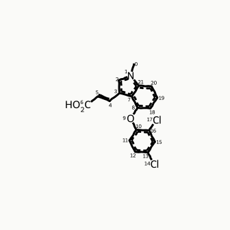 Cn1cc(/C=C/C(=O)O)c2c(Oc3ccc(Cl)cc3Cl)cccc21